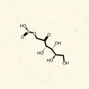 O=C(COS(=O)O)[C@@H](O)[C@H](O)[C@H](O)CO